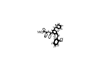 O=C(O)C(=O)CC(=O)c1cc(Cc2ccccn2)cc(Cc2ccccc2Cl)c1